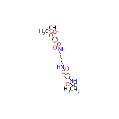 C=C(C)C(=O)Nc1ccc(OC(=O)NCCCCCCNC(=O)Oc2ccc(OC(=O)C(=C)C)cc2)cc1